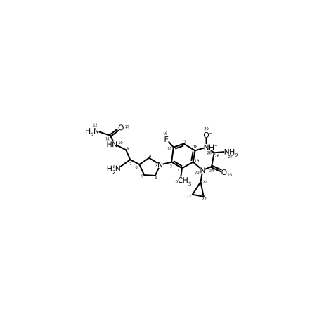 Cc1c(N2CCC(C(N)CNC(N)=O)C2)c(F)cc2c1N(C1CC1)C(=O)C(N)[NH+]2[O-]